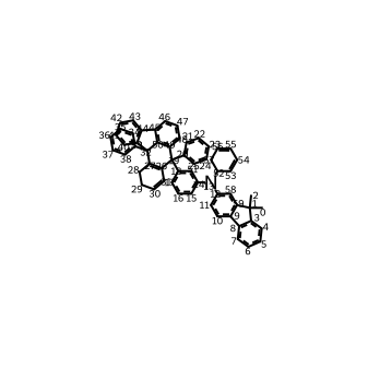 CC1(C)c2ccccc2-c2ccc(N(c3cccc(C4(c5ccccc5)C5=C(CCC=C5)C5(c6ccccc6)c6ccccc6-c6cccc4c65)c3)C3C=CC=CC3)cc21